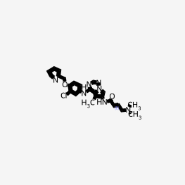 Cc1c(NC(=O)/C=C/CN(C)C)cn2ncnc(Nc3ccc(OCc4ccccn4)c(Cl)c3)c12